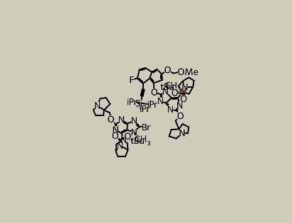 COCOc1cc(Oc2nc3nc(OCC45CCCN4CCC5)nc(N4CC5CCC(C4)N5C(=O)OC(C)(C)C)c3n2C)c2c(C#C[Si](C(C)C)(C(C)C)C(C)C)c(F)ccc2c1.Cn1c(Br)nc2nc(OCC34CCCN3CCC4)nc(N3CC4CCC(C3)N4C(=O)OC(C)(C)C)c21